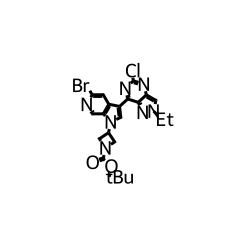 CCn1cc2nc(Cl)nc(-c3cn(C4CN(C(=O)OC(C)(C)C)C4)c4cnc(Br)cc34)c2n1